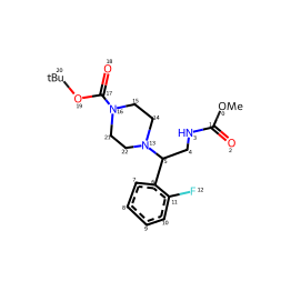 COC(=O)NCC(c1ccccc1F)N1CCN(C(=O)OC(C)(C)C)CC1